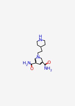 NC(=O)C1=CN(CCC2CCNCC2)CC(C(N)=O)=C1